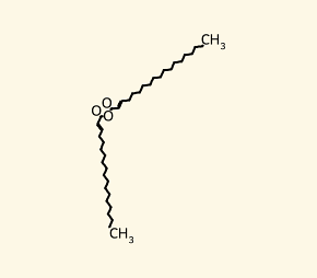 CCCCCCCCCCCCCCCCC=CC(=O)OC(=O)C=CCCCCCCCCCCCCCCCC